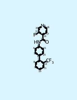 O=C(Nc1ccc(-c2ccccc2C(F)(F)F)cc1)c1ccncc1F